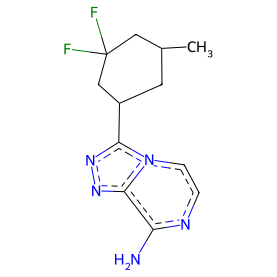 CC1CC(c2nnc3c(N)nccn23)CC(F)(F)C1